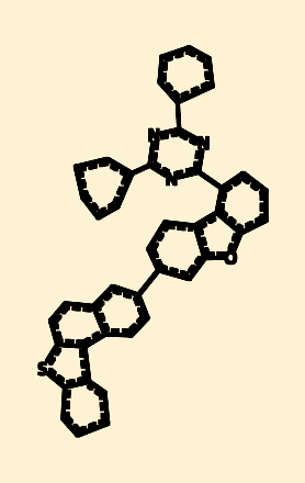 c1ccc(-c2nc(-c3ccccc3)nc(-c3cccc4oc5cc(-c6ccc7c(ccc8sc9ccccc9c87)c6)ccc5c34)n2)cc1